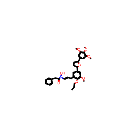 CCCOc1c(CC=CN(O)C(=O)Cc2ccccc2)cc(C2CCC(c3cc(OC)c(OC)c(OC)c3)O2)cc1OC